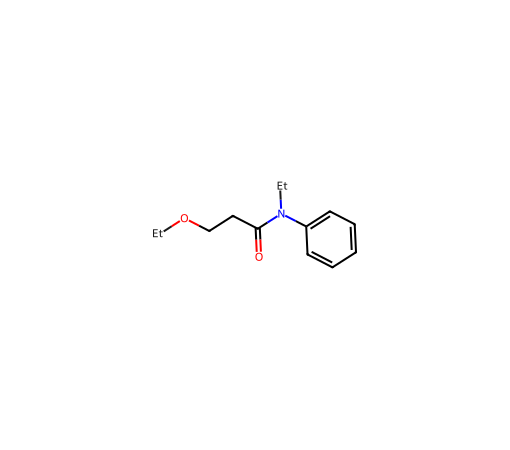 CCOCCC(=O)N(CC)c1ccccc1